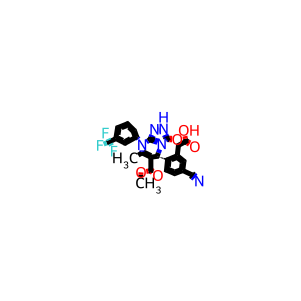 COC(=O)C1=C(C)N(c2cccc(C(F)(F)F)c2)c2n[nH]c(=O)n2[C@@H]1c1ccc(C#N)cc1CC(=O)O